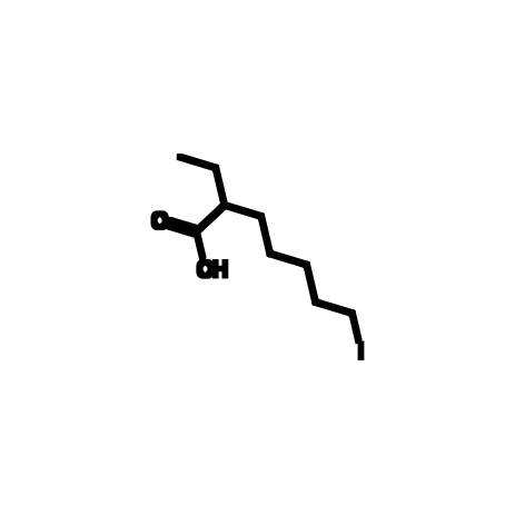 CCC(CCCCCI)C(=O)O